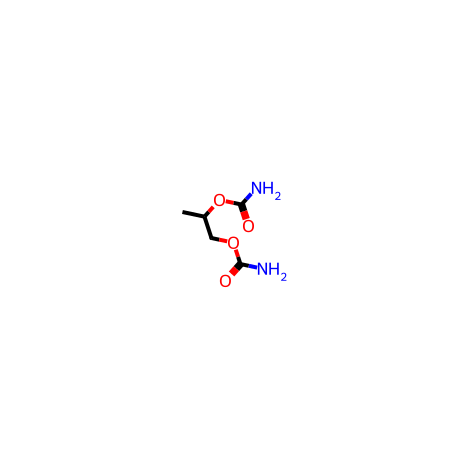 CC(COC(N)=O)OC(N)=O